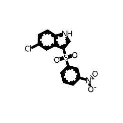 O=[N+]([O-])c1cccc(S(=O)(=O)c2c[nH]c3ccc(Cl)cc23)c1